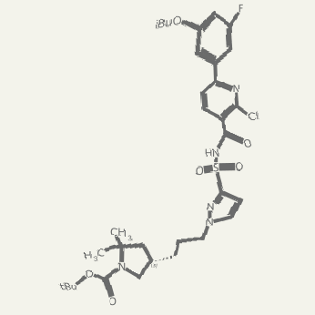 CC(C)COc1cc(F)cc(-c2ccc(C(=O)NS(=O)(=O)c3ccn(CCC[C@@H]4CN(C(=O)OC(C)(C)C)C(C)(C)C4)n3)c(Cl)n2)c1